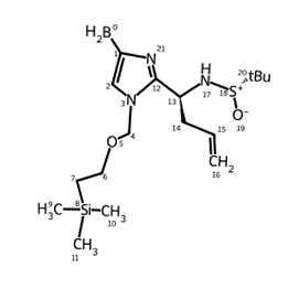 Bc1cn(COCC[Si](C)(C)C)c([C@H](CC=C)N[S@@+]([O-])C(C)(C)C)n1